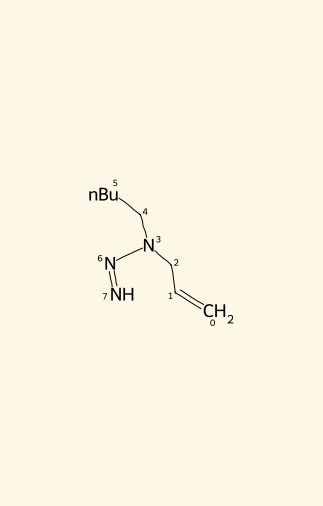 C=CCN(CCCCC)N=N